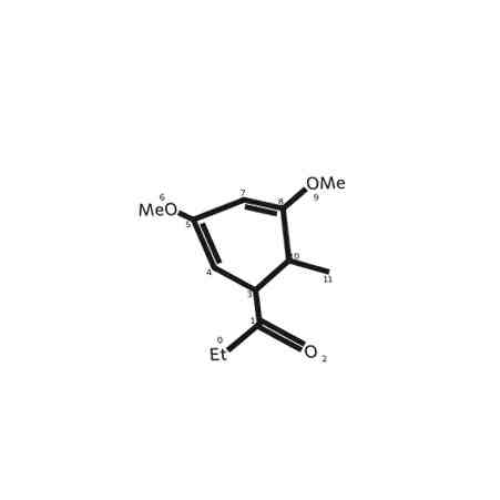 CCC(=O)C1C=C(OC)C=C(OC)C1C